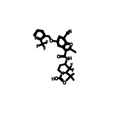 Cc1oc2c(C#N)cc(OCc3cccnc3C(F)(F)F)cc2c1C(=O)NC1CCN(C(=O)O)C(C(C)(C)C)C1(F)F